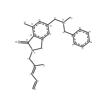 C=C/C=C(\C)CN1Cc2cc(CN(C)Cc3ccccc3)cc(C)c2C1=O